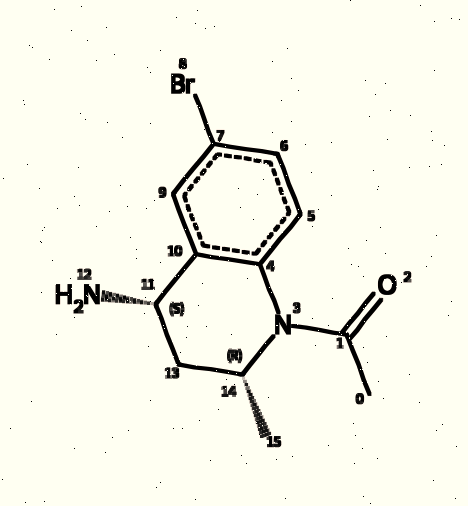 CC(=O)N1c2ccc(Br)cc2[C@@H](N)C[C@H]1C